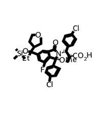 CCC(O[Si](C)(C)C)(c1cc(F)c2c(c1)C(=O)N([C@H](c1ccc(Cl)cc1)[C@H](C)C(=O)O)[C@@]2(OC)c1ccc(Cl)cc1)C1CCOCC1